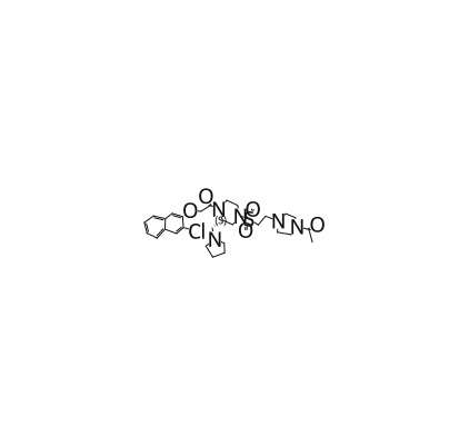 CC(=O)N1CCN(CCS(=O)(=O)N2CCN(C(=O)COc3cc4ccccc4cc3Cl)[C@@H](CN3CCCC3)C2)CC1